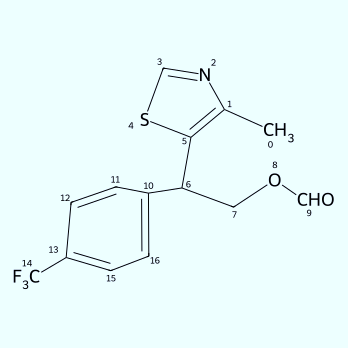 Cc1ncsc1C(COC=O)c1ccc(C(F)(F)F)cc1